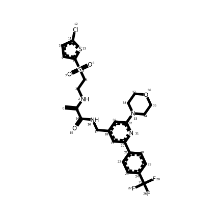 C=C(NCCS(=O)(=O)c1ccc(Cl)s1)C(=O)NCc1cc(-c2ccc(C(F)(F)F)cc2)nc(N2CCOCC2)c1